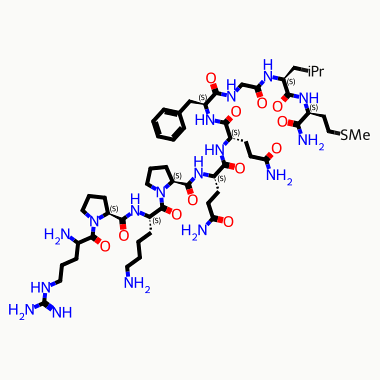 CSCC[C@H](NC(=O)[C@H](CC(C)C)NC(=O)CNC(=O)[C@H](Cc1ccccc1)NC(=O)[C@H](CCC(N)=O)NC(=O)[C@H](CCC(N)=O)NC(=O)[C@@H]1CCCN1C(=O)[C@H](CCCCN)NC(=O)[C@@H]1CCCN1C(=O)C(N)CCCNC(=N)N)C(N)=O